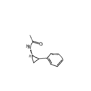 CC(=O)N[C@@H]1CC1c1ccccc1